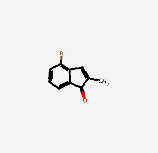 CC1=Cc2c(Br)cccc2C1=O